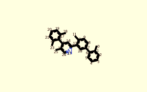 Cc1ccccc1-c1ccc(C)c(-c2cc(-c3c(C)cccc3C)c(C)cn2)c1